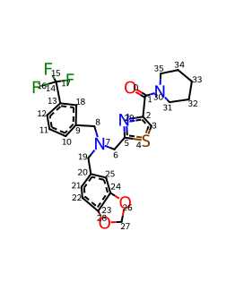 O=C(c1csc(CN(Cc2cccc(C(F)(F)F)c2)Cc2ccc3c(c2)OCO3)n1)N1CCCCC1